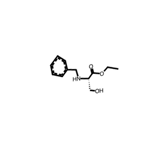 CCOC(=O)[C@H](CO)NCc1ccccc1